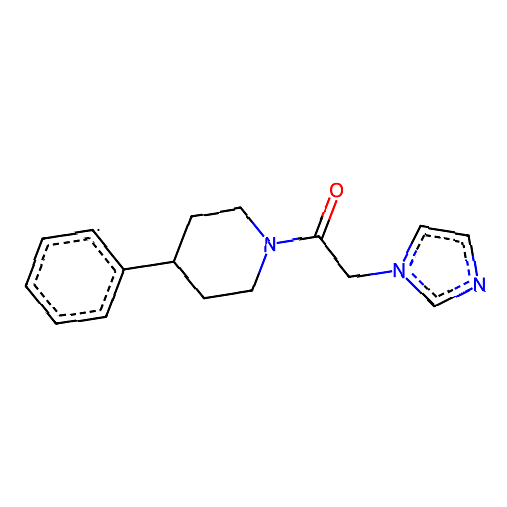 O=C(Cn1ccnc1)N1CCC(c2[c]cccc2)CC1